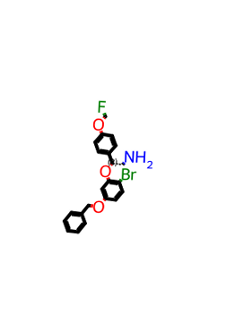 NC[C@H](Oc1cc(OCc2ccccc2)ccc1Br)c1ccc(OCF)cc1